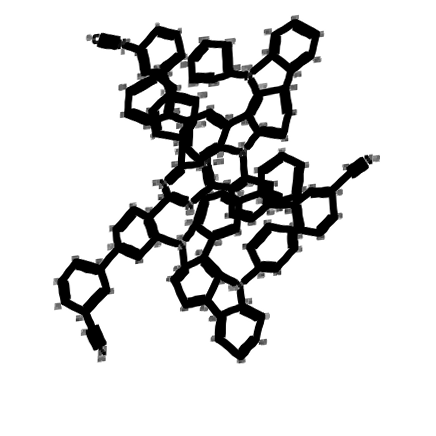 [C-]#[N+]c1cccc(-c2ccc(-c3nc(-c4ccc(-c5cccc(C#N)c5)cc4-n4c5ccc(-c6ccccc6)cc5c5c4ccc4c6ccccc6n(-c6ccccc6)c45)nc(-c4ccc(-c5cccc(C#N)c5)cc4-n4c5ccc(-c6ccccc6)cc5c5c4ccc4c6ccccc6n(-c6ccccc6)c45)n3)cc2)c1